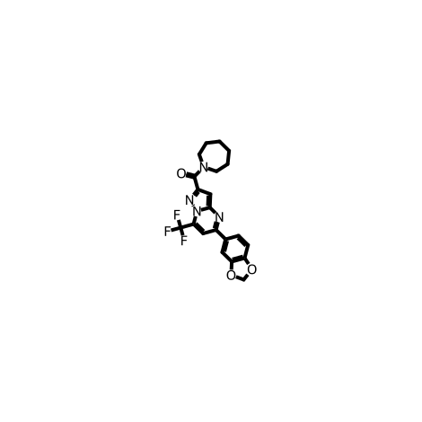 O=C(c1cc2nc(-c3ccc4c(c3)OCO4)cc(C(F)(F)F)n2n1)N1CCCCCC1